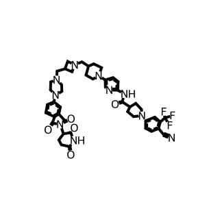 N#Cc1ccc(N2CCC(C(=O)Nc3ccc(N4CCC(CN5CC(CN6CCN(c7ccc8c(c7)C(=O)N(C7CCC(=O)NC7=O)C8=O)CC6)C5)CC4)cn3)CC2)cc1C(F)(F)F